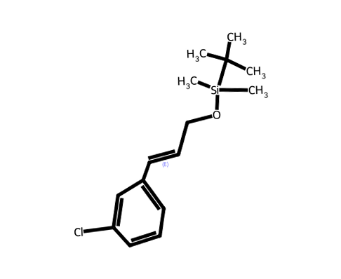 CC(C)(C)[Si](C)(C)OC/C=C/c1cccc(Cl)c1